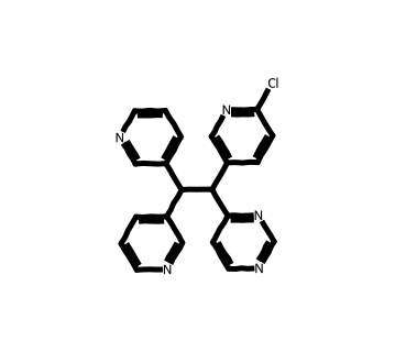 Clc1ccc(C(c2ccncn2)C(c2cccnc2)c2cccnc2)cn1